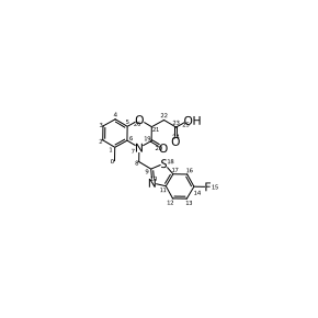 Cc1cccc2c1N(Cc1nc3ccc(F)cc3s1)C(=O)C(CC(=O)O)O2